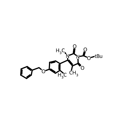 Cc1cc(OCc2ccccc2)ccc1-c1c(C)c(=O)n(C(=O)OC(C)(C)C)c(=O)n1C